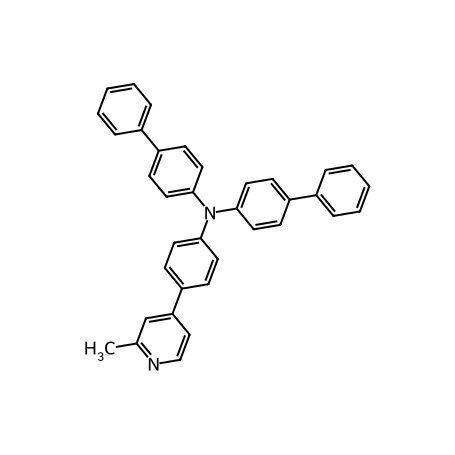 Cc1cc(-c2ccc(N(c3ccc(-c4ccccc4)cc3)c3ccc(-c4ccccc4)cc3)cc2)ccn1